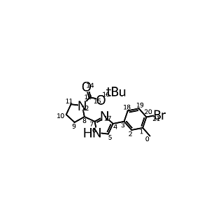 Cc1cc(-c2c[nH]c(C3CCCN3C(=O)OC(C)(C)C)n2)ccc1Br